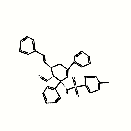 Cc1ccc(S(=O)(=O)N[C@@]2(c3ccccc3)C=C(c3ccccc3)C[C@H](/C=C/c3ccccc3)[C@H]2C=O)cc1